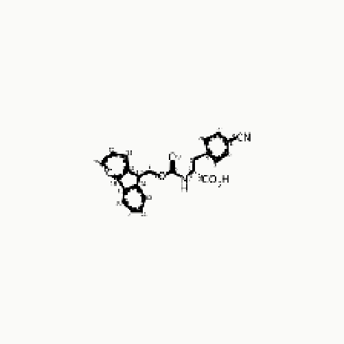 N#Cc1ccc(C[C@@H](NC(=O)OCC2c3ccccc3-c3ccccc32)C(=O)O)cc1